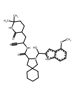 COc1cccc2[nH]c(C(O)N3CC4(CCCCC4)CC3C(=O)NC(C#N)CC3CCC(C)(C)NC3=O)cc12